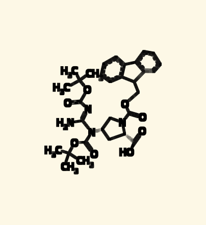 CC(C)(C)OC(=O)N=C(N)N(C(=O)OC(C)(C)C)[C@H]1C[C@@H](C(=O)O)N(C(=O)OCC2c3ccccc3-c3ccccc32)C1